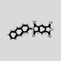 O=c1oc(=O)c2cc3c(=O)n(-c4ccc5cc6ccccc6cc5c4)c(=O)c3cc12